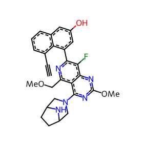 C#Cc1cccc2cc(O)cc(-c3nc(COC)c4c(N5CC6CCC(C5)N6)nc(OC)nc4c3F)c12